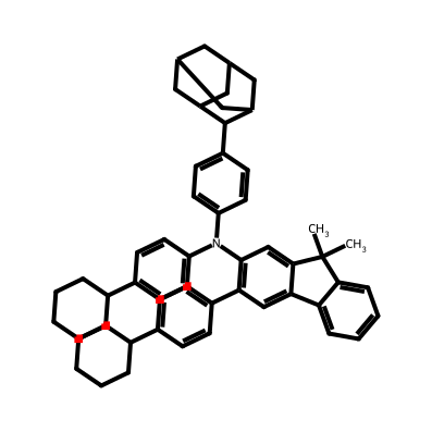 CC1(C)c2ccccc2-c2cc(-c3ccc(C4CCCCC4)cc3)c(N(c3ccc(C4CCCCC4)cc3)c3ccc(C4C5CC6CC(C5)CC4C6)cc3)cc21